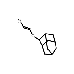 CCC=COC1C2CC3CC(C2)CC1C3